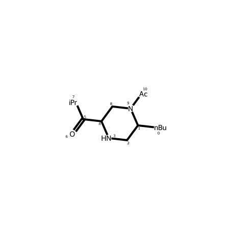 CCCCC1CNC(C(=O)C(C)C)CN1C(C)=O